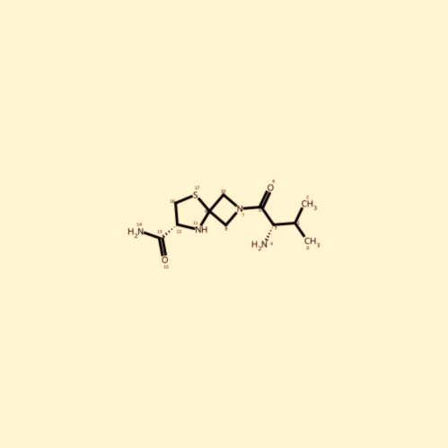 CC(C)[C@H](N)C(=O)N1CC2(C1)N[C@H](C(N)=O)CS2